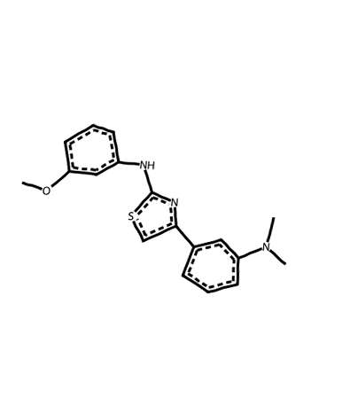 COc1cccc(Nc2nc(-c3cccc(N(C)C)c3)cs2)c1